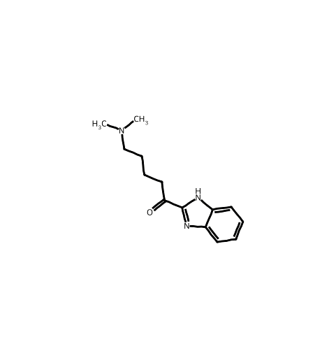 CN(C)CCCCC(=O)c1nc2ccccc2[nH]1